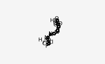 CC(Oc1cc(-c2cnn(C3CCC(CN4C(C)CN(c5ccc6c(c5)C(=O)N(C5CCC(=O)NC5=O)C6=O)CC4C)CC3)c2)cnc1N)c1c(Cl)ccc(F)c1Cl